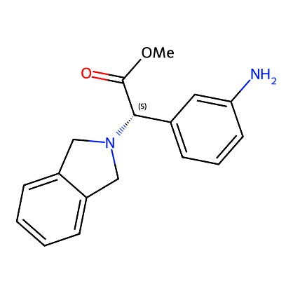 COC(=O)[C@H](c1cccc(N)c1)N1Cc2ccccc2C1